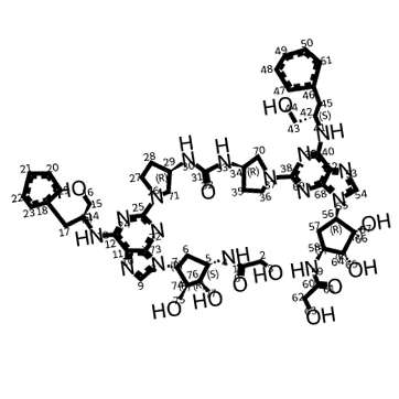 O=C(CO)N[C@H]1C[C@@H](n2cnc3c(N[C@H](CO)Cc4ccccc4)nc(N4CC[C@@H](NC(=O)N[C@@H]5CCN(c6nc(N[C@H](CO)Cc7ccccc7)c7ncn([C@@H]8C[C@H](NC(=O)CO)[C@@H](O)[C@H]8O)c7n6)C5)C4)nc32)[C@H](O)[C@@H]1O